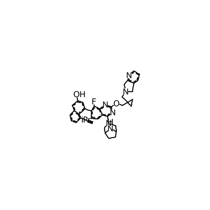 C#Cc1cccc2cc(O)cc(-c3c(C(C)C)cc4c(N5CC6CCC(C5)N6)nc(OCC5(CN6Cc7cccnc7C6)CC5)nc4c3F)c12